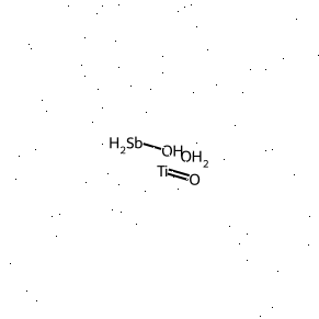 O.[OH][SbH2].[O]=[Ti]